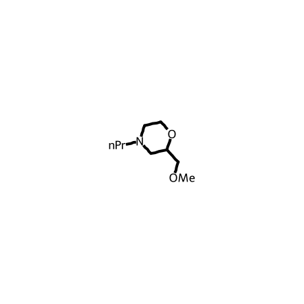 [CH2]CCN1CCOC(COC)C1